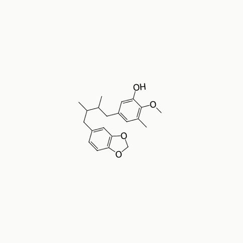 COc1c(C)cc(CC(C)C(C)Cc2ccc3c(c2)OCO3)cc1O